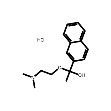 CN(C)CCOC(C)(O)c1ccc2ccccc2c1.Cl